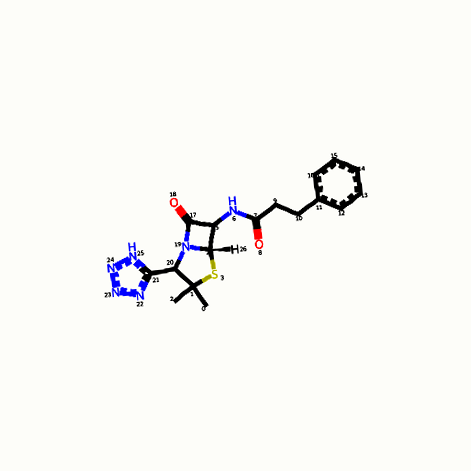 CC1(C)S[C@H]2C(NC(=O)CCc3ccccc3)C(=O)N2C1c1nnn[nH]1